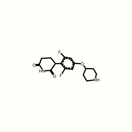 O=C1CCC(c2c(F)cc(OC3CCNCC3)cc2F)C(=O)N1